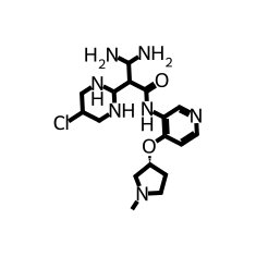 CN1CC[C@@H](Oc2ccncc2NC(=O)C(C(N)N)C2NCC(Cl)CN2)C1